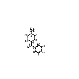 CCC1CCC(C(C)c2ccccc2)CC1